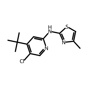 Cc1csc(Nc2cc(C(C)(C)C)c(Cl)cn2)n1